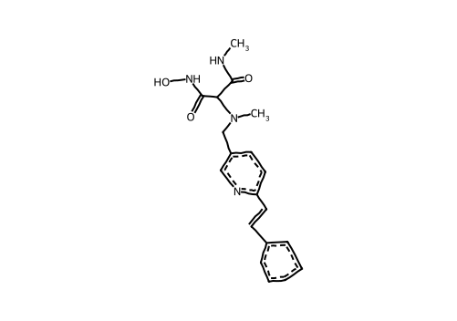 CNC(=O)C(C(=O)NO)N(C)Cc1ccc(/C=C/c2ccccc2)nc1